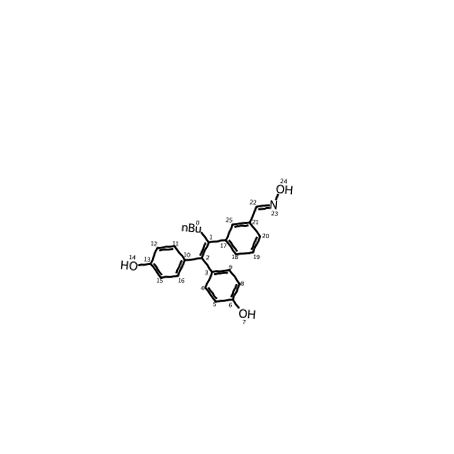 CCCCC(=C(c1ccc(O)cc1)c1ccc(O)cc1)c1cccc(C=NO)c1